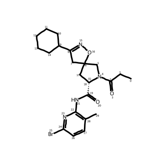 CCC(=O)N1CC2(CC(C3CCCCC3)=NO2)C[C@H]1C(=O)Nc1nc(Br)ccc1C